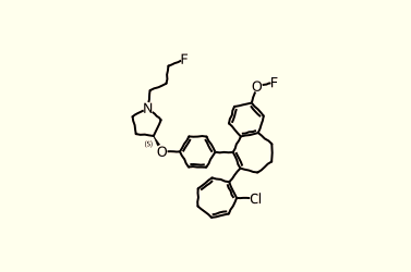 FCCCN1CC[C@H](Oc2ccc(C3=C(C4=C(Cl)C=CCC=C4)CCCc4cc(OF)ccc43)cc2)C1